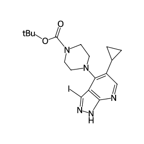 CC(C)(C)OC(=O)N1CCN(c2c(C3CC3)cnc3[nH]nc(I)c23)CC1